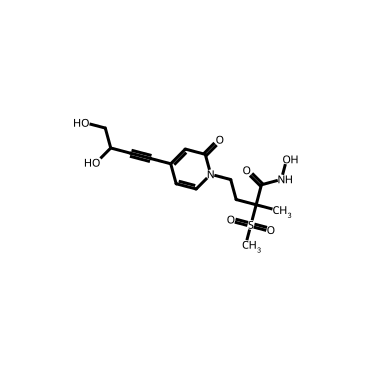 CC(CCn1ccc(C#CC(O)CO)cc1=O)(C(=O)NO)S(C)(=O)=O